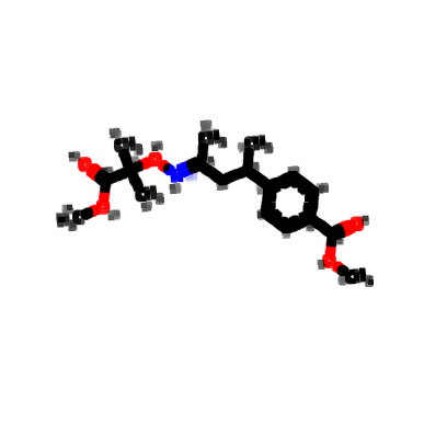 COC(=O)c1ccc(C(C)C/C(C)=N/OC(C)(C)C(=O)OC)cc1